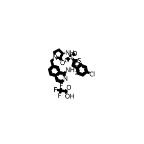 Nc1nccc2ccc(CN3CC[C@H](NS(=O)(=O)c4cc5ccc(Cl)cc5s4)C3=O)cc12.O=C(O)C(F)(F)F